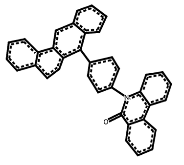 O=c1c2ccccc2c2ccccc2n1-c1ccc(-c2c3ccccc3cc3c2ccc2ccccc23)cc1